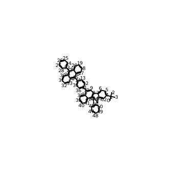 CC(C)(C)c1ccc2c3cc(-c4ccc(-c5c6ccccc6c(-c6ccccc6)c6ccccc56)cc4)c4ccccc4c3n(-c3ccccc3)c2c1